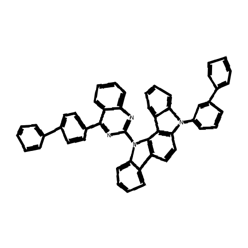 c1ccc(-c2ccc(-c3nc(-n4c5ccccc5c5ccc6c(c7ccccc7n6-c6cccc(-c7ccccc7)c6)c54)nc4ccccc34)cc2)cc1